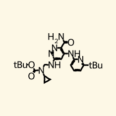 CC(C)(C)OC(=O)N(CNc1cc(Nc2cccc(C(C)(C)C)n2)c(C(N)=O)nn1)C1CC1